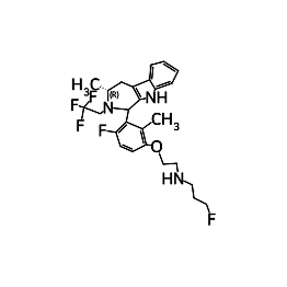 Cc1c(OCCNCCCF)ccc(F)c1C1c2[nH]c3ccccc3c2C[C@@H](C)N1CC(F)(F)F